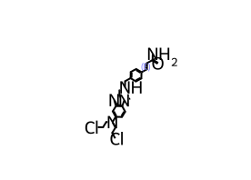 Cn1c(CNCc2ccc(/C=C/C(N)=O)cc2)nc2cc(N(CCCl)CCCl)ccc21